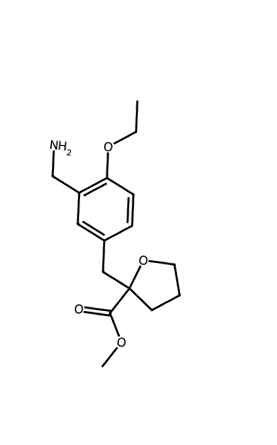 CCOc1ccc(CC2(C(=O)OC)CCCO2)cc1CN